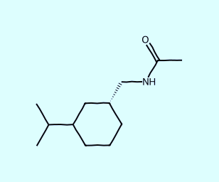 CC(=O)NC[C@@H]1CCCC(C(C)C)C1